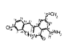 CSc1nc(NN)c(C(N)=O)c(NCc2ccc(Cl)cc2Cl)n1